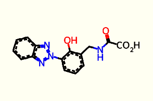 O=C(O)C(=O)NCc1cccc(-n2nc3ccccc3n2)c1O